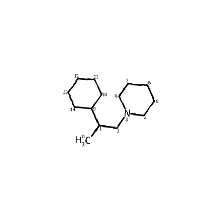 CC(CN1CCCCC1)C1CCCCC1